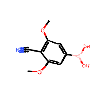 COc1cc(B(O)O)cc(OC)c1C#N